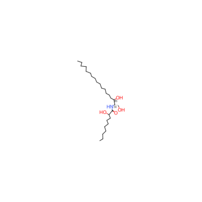 CCCCCCCCCCCCCCC[C@@H](O)[C@H](CO)NC(=O)C(O)CCCCCCCC